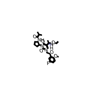 CCO/N=C(\C)c1cn(CC(O)c2cc(F)ccc2OC)c(=O)n(C2CCCC2NC(=O)C(C)C)c1=O